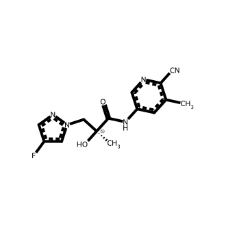 Cc1cc(NC(=O)[C@@](C)(O)Cn2cc(F)cn2)cnc1C#N